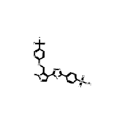 Cn1ncc(-c2nnc(-c3ccc(S(N)(=O)=O)cc3)o2)c1COc1ccc(C(F)(F)F)cn1